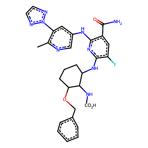 Cc1ncc(Nc2nc(NC3CCCC(OCc4ccccc4)C3NC(=O)O)c(F)cc2C(N)=O)cc1-n1nccn1